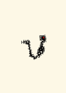 CN(CCOc1ccc2c(c1)CC[C@@H]1[C@@H]2CC[C@]2(C)[C@@H](OCCCOC(C(F)(F)F)(C(F)(F)F)C(F)(F)F)CC[C@@H]12)CCC(C)(C)SSCCCCCCC(CO)CO